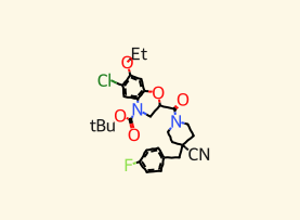 CCOc1cc2c(cc1Cl)N(C(=O)OC(C)(C)C)CC(C(=O)N1CCC(C#N)(Cc3ccc(F)cc3)CC1)O2